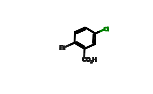 CCc1ccc(Cl)cc1C(=O)O